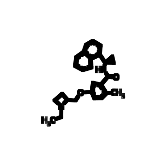 CCN1CCC1COc1ccc(C)c(C(=O)NC2(c3cccc4ccccc34)CC2)c1